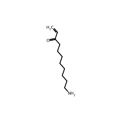 C=CC(=O)CCCCCCCCN